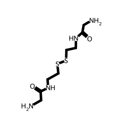 NCC(=O)NCCSSCCNC(=O)CN